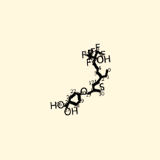 CCC(=CC=CC(O)(C(F)(F)F)C(F)(F)F)c1cc(COc2ccc(C(O)O)cc2)cs1